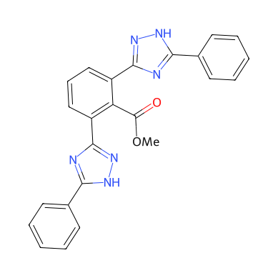 COC(=O)c1c(-c2n[nH]c(-c3ccccc3)n2)cccc1-c1n[nH]c(-c2ccccc2)n1